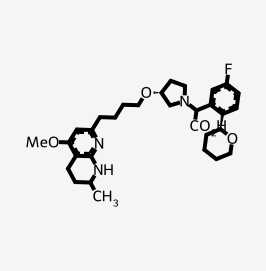 COc1cc(CCCCO[C@@H]2CCN(C(C(=O)O)c3cc(F)ccc3[C@@H]3CCCCO3)C2)nc2c1CCC(C)N2